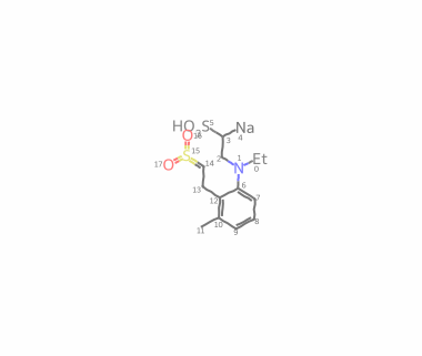 CCN(C[CH]([Na])S(=O)(=O)O)c1cccc(C)c1CC=S(=O)=O